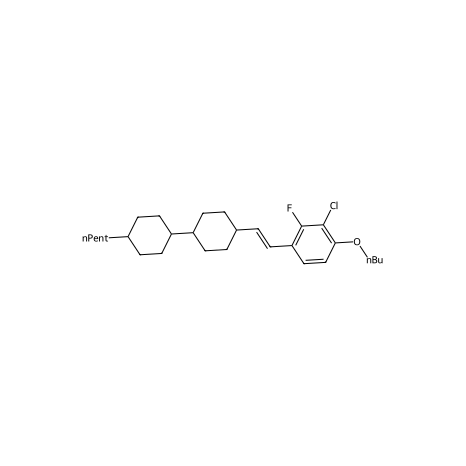 CCCCCC1CCC(C2CCC(/C=C/c3ccc(OCCCC)c(Cl)c3F)CC2)CC1